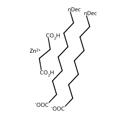 CCCCCCCCCCCCCCCCCC(=O)[O-].CCCCCCCCCCCCCCCCCC(=O)[O-].O=C(O)CCC(=O)O.[Zn+2]